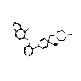 Cc1c(Nc2ccncc2C2C=CC(C#N)(CN3CCN(C)CC3)C=N2)ccc2[nH]ccc12